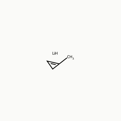 CC1=CC1.[LiH]